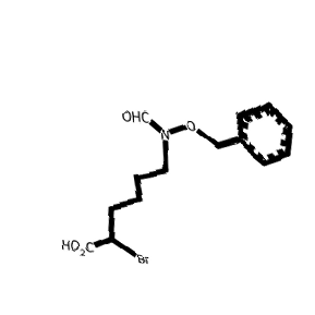 O=CN(CCCCC(Br)C(=O)O)OCc1ccccc1